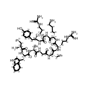 CC[C@H](C)[C@H](NC(=O)[C@H](Cc1c[nH]c2ccccc12)NC(=O)[C@@H](N)CC(C)C)C(=O)NCC(=O)N[C@@H](CC(C)C)C(=O)N[C@@H](CCCNC(=N)N)C(=O)N[C@@H](CCCCN)C(=O)N[C@@H](CCCNC(=N)N)C(=O)N[C@@H](Cc1ccc(O)cc1)C(=O)O